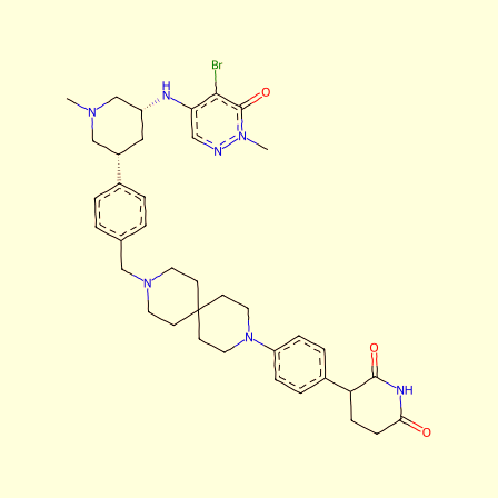 CN1C[C@H](Nc2cnn(C)c(=O)c2Br)C[C@H](c2ccc(CN3CCC4(CC3)CCN(c3ccc(C5CCC(=O)NC5=O)cc3)CC4)cc2)C1